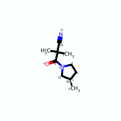 C[C@@H]1CCN(C(=O)C(C)(C)C#N)C1